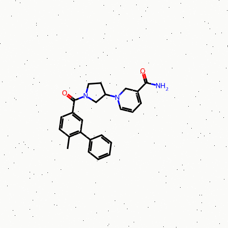 Cc1ccc(C(=O)N2CCC(N3C=CC=C(C(N)=O)C3)C2)cc1-c1ccccc1